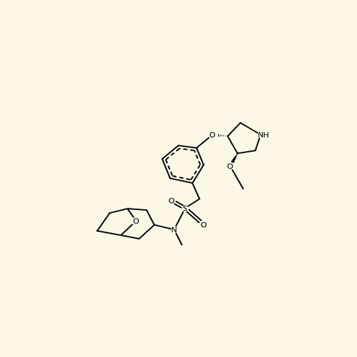 CO[C@@H]1CNC[C@H]1Oc1cccc(CS(=O)(=O)N(C)C2CC3CCC(C2)O3)c1